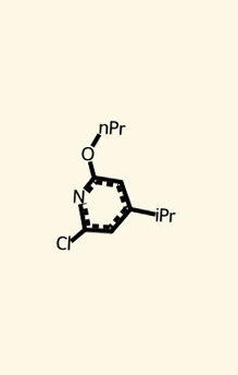 CCCOc1cc(C(C)C)cc(Cl)n1